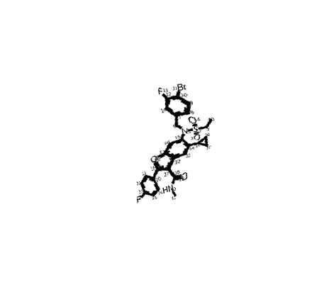 CCS(=O)(=O)N(Cc1ccc(Br)c(F)c1)c1cc2oc(-c3ccc(F)cc3)c(C(=O)NC)c2cc1C1CC1